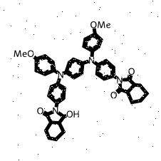 COc1ccc(N(c2ccc(N3C(=O)C4CCCCC4C3=O)cc2)c2ccc(N(c3ccc(OC)cc3)c3ccc(N4C(=O)C5CCCCC5C4O)cc3)cc2)cc1